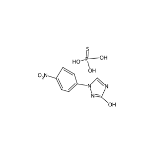 O=[N+]([O-])c1ccc(-n2cnc(O)n2)cc1.OP(O)(O)=S